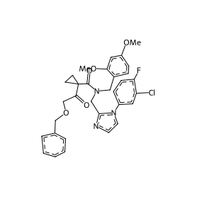 COc1ccc(CN(Cc2nccn2-c2ccc(F)c(Cl)c2)C(=O)C2(C(=O)COCc3ccccc3)CC2)c(OC)c1